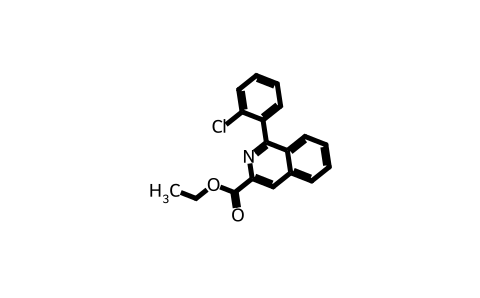 CCOC(=O)c1cc2ccccc2c(-c2ccccc2Cl)n1